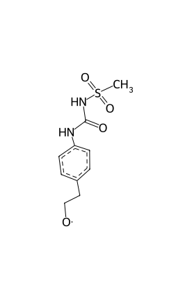 CS(=O)(=O)NC(=O)Nc1ccc(CC[O])cc1